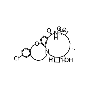 C[C@H]1CC[C@H](C)S(=O)(=O)NC(=O)c2ccc3c(c2)N(CCCCc2cc(Cl)ccc2CO3)C[C@@H]2CC[C@H]2[C@@H](O)C1